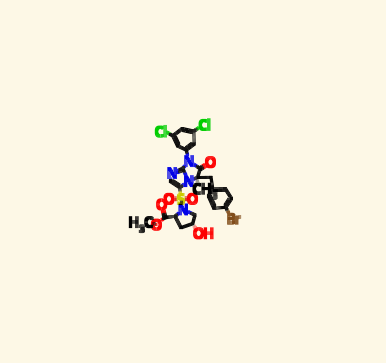 COC(=O)[C@@H]1C[C@@H](O)CN1S(=O)(=O)c1cnc2n1[C@](C)(Cc1ccc(Br)cc1)C(=O)N2c1cc(Cl)cc(Cl)c1